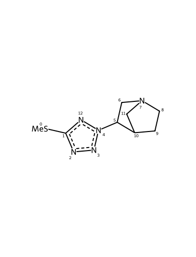 CSc1nnn(C2CN3CCC2C3)n1